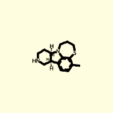 Cc1ccc2c3c1SCCCN3[C@@H]1CCNC[C@H]21